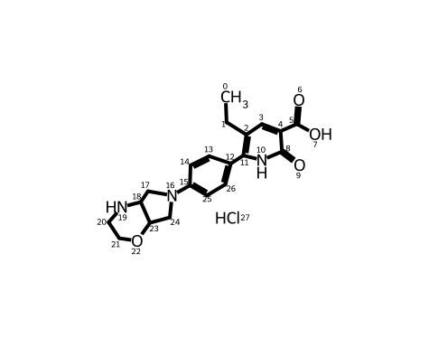 CCc1cc(C(=O)O)c(=O)[nH]c1-c1ccc(N2CC3NCCOC3C2)cc1.Cl